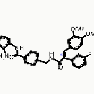 COc1ccc(/C=C(/C(=O)NCc2ccc(C(=O)Nc3ccccc3N)cc2)c2cccc(F)c2)cc1OC